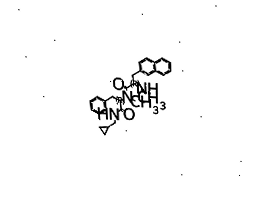 CN[C@H](Cc1ccc2ccccc2c1)C(=O)N(C)[C@H](Cc1ccccc1)C(=O)NCC1CC1